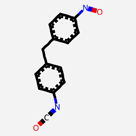 O=C=Nc1ccc(Cc2ccc(N=O)cc2)cc1